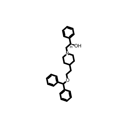 O[C@@H](CN1CCC(CCOC(c2ccccc2)c2ccccc2)CC1)c1ccccc1